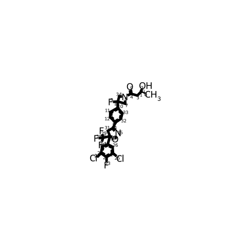 C[C@H](O)CC(=O)N1CC(F)(c2ccc(C3=NOC(c4cc(Cl)c(F)c(Cl)c4)(C(F)(F)F)C3)cc2)C1